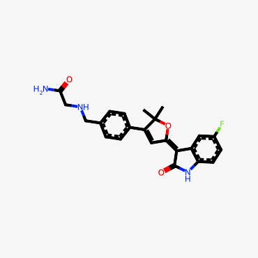 CC1(C)O/C(=C2/C(=O)Nc3ccc(F)cc32)C=C1c1ccc(CNCC(N)=O)cc1